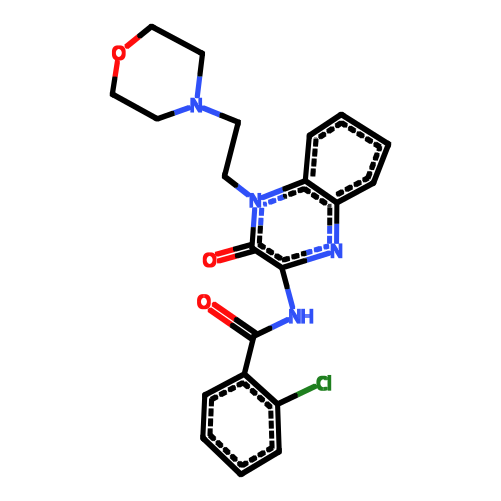 O=C(Nc1nc2ccccc2n(CCN2CCOCC2)c1=O)c1ccccc1Cl